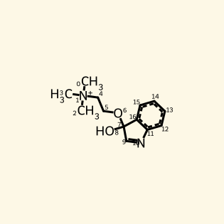 C[N+](C)(C)CCOC1(O)C=Nc2ccccc21